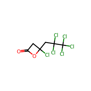 O=C1CC(Cl)(CC(Cl)(Cl)C(Cl)(Cl)Cl)O1